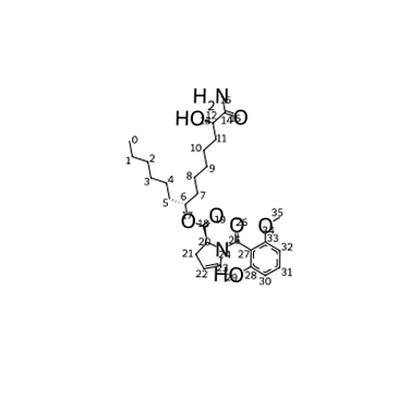 CCCCCC[C@H](CCCCC[C@@H](O)C(N)=O)OC(=O)[C@@H]1CC=CN1C(=O)c1c(O)cccc1OC